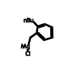 CCCCc1ccccc1[CH2][Mg][Cl]